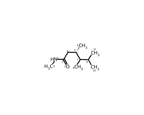 CNC(=O)C[C@H](C)C(C)C(C)C